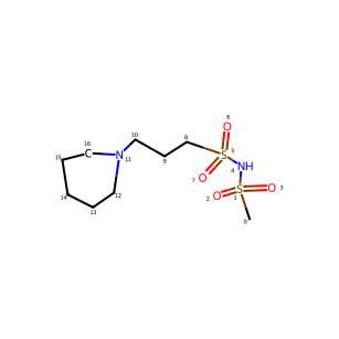 CS(=O)(=O)NS(=O)(=O)CCCN1CCCCC1